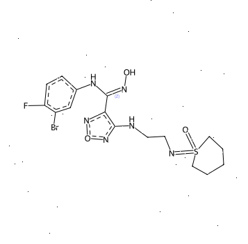 O=S1(=NCCNc2nonc2/C(=N/O)Nc2ccc(F)c(Br)c2)CCCCC1